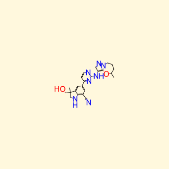 CC1CCCn2ncc(Nc3nccc(-c4cc(C#N)c5c(c4)C(C)(CO)CN5)n3)c2O1